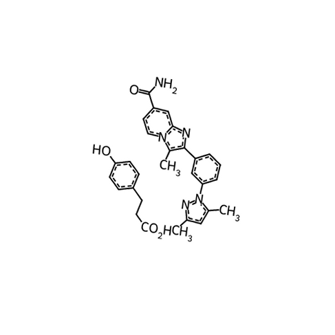 Cc1cc(C)n(-c2cccc(-c3nc4cc(C(N)=O)ccn4c3C)c2)n1.O=C(O)CCc1ccc(O)cc1